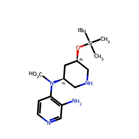 CC(C)(C)[Si](C)(C)O[C@H]1CNC[C@@H](N(C(=O)O)c2ccncc2N)C1